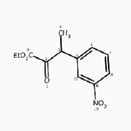 CCOC(=O)C(=O)C(C)c1cccc([N+](=O)[O-])c1